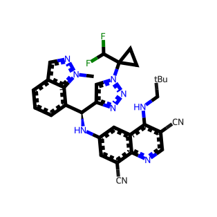 Cn1ncc2cccc([C@H](Nc3cc(C#N)c4ncc(C#N)c(NCC(C)(C)C)c4c3)c3cn(C4(C(F)F)CC4)nn3)c21